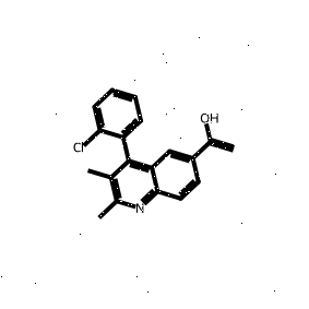 C=C(O)c1ccc2nc(C)c(C)c(-c3ccccc3Cl)c2c1